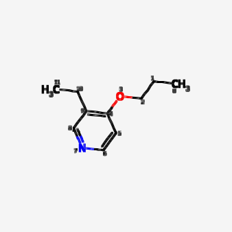 CCCOc1ccn[c]c1CC